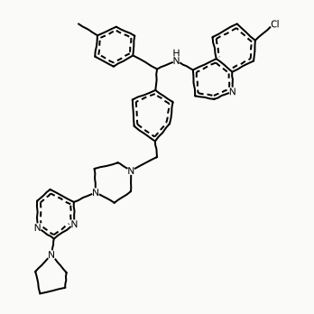 Cc1ccc(C(Nc2ccnc3cc(Cl)ccc23)c2ccc(CN3CCN(c4ccnc(N5CCCC5)n4)CC3)cc2)cc1